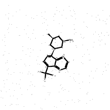 C[C@H]1C[C@@H](N)C[C@@H](c2ccc(C(F)(F)F)c3nccnc23)C1